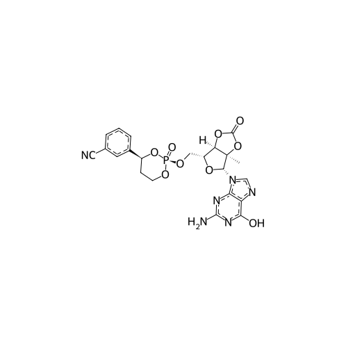 C[C@@]12OC(=O)O[C@@H]1[C@@H](CO[P@@]1(=O)OCC[C@@H](c3cccc(C#N)c3)O1)O[C@H]2n1cnc2c(O)nc(N)nc21